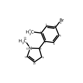 Cc1cc(Br)ccc1C1CC=CN1C